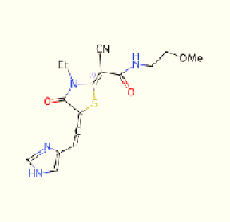 CCn1c(=O)c(=C=Cc2c[nH]cn2)s/c1=C(/C#N)C(=O)NCCOC